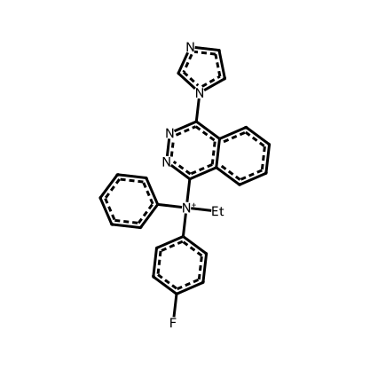 CC[N+](c1ccccc1)(c1ccc(F)cc1)c1nnc(-n2ccnc2)c2ccccc12